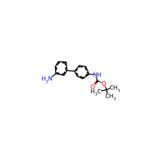 CC(C)(C)OC(=O)Nc1ccc(-c2cccc(N)c2)cc1